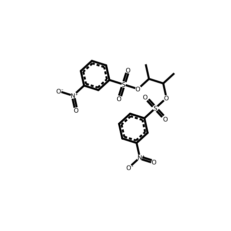 CC(OS(=O)(=O)c1cccc([N+](=O)[O-])c1)C(C)OS(=O)(=O)c1cccc([N+](=O)[O-])c1